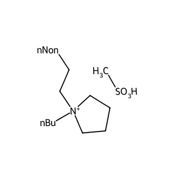 CCCCCCCCCCC[N+]1(CCCC)CCCC1.CS(=O)(=O)O